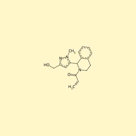 C=CC(=O)N1CCc2ccccc2C1c1cc(CO)nn1C